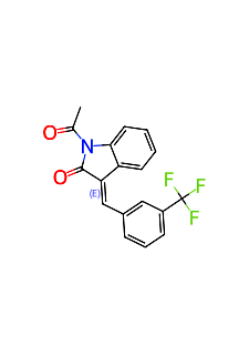 CC(=O)N1C(=O)/C(=C/c2cccc(C(F)(F)F)c2)c2ccccc21